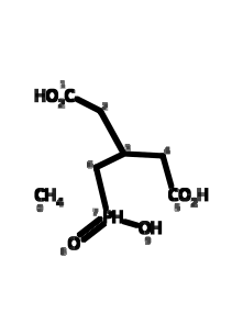 C.O=C(O)CC(CC(=O)O)C[PH](=O)O